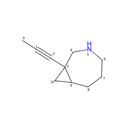 CC#CC12CNCCCC1C2